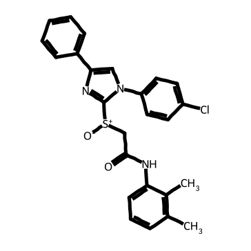 Cc1cccc(NC(=O)C[S+]([O-])c2nc(-c3ccccc3)cn2-c2ccc(Cl)cc2)c1C